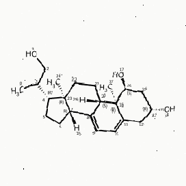 CC(CO)[C@H]1CC[C@H]2C3=CC=C4C[C@@H](O)C[C@H](O)[C@]4(C)[C@H]3CC[C@]12C